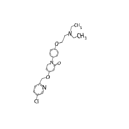 CCN(CC)CCOc1ccc(-n2ccc(OCc3ccc(Cl)cn3)cc2=O)cc1